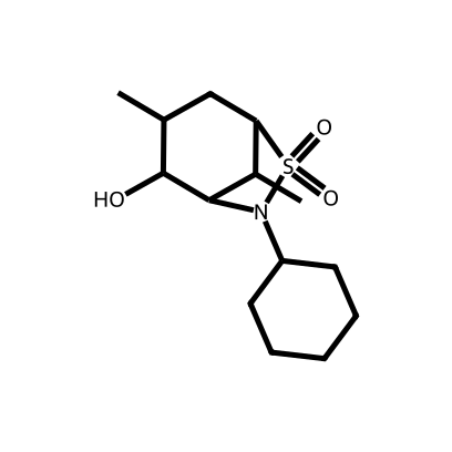 CC1CC2C(C)C(C1O)N(C1CCCCC1)S2(=O)=O